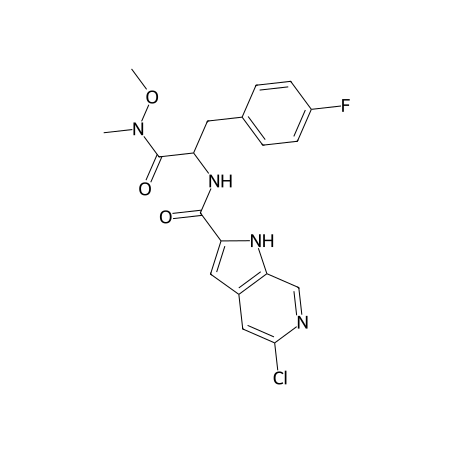 CON(C)C(=O)C(Cc1ccc(F)cc1)NC(=O)c1cc2cc(Cl)ncc2[nH]1